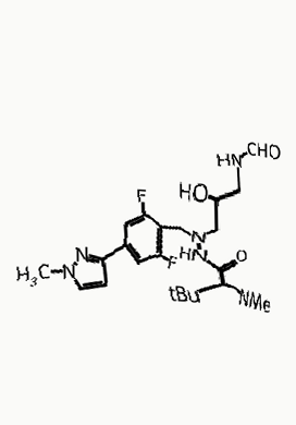 CNC(C(=O)NN(Cc1c(F)cc(-c2ccn(C)n2)cc1F)CC(O)CNC=O)C(C)(C)C